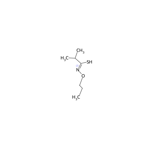 CCCO/N=C(\S)C(C)C